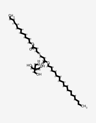 CCCCCCCCCCCCCCCCCCOC(=O)CCSCCC(=O)OCCCCCCCCCCCC.OCC(CO)(CO)CO